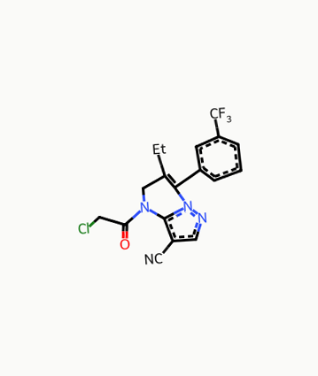 CCC1=C(c2cccc(C(F)(F)F)c2)n2ncc(C#N)c2N(C(=O)CCl)C1